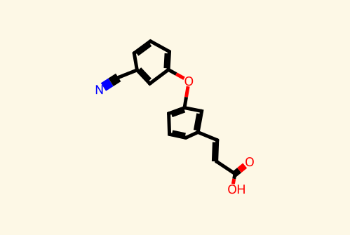 N#Cc1cccc(Oc2cccc(/C=C/C(=O)O)c2)c1